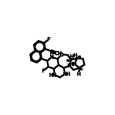 C#Cc1c(F)ccc2cccc(C3NC4OC[C@@H]5[C@@H]6CC[C@H](CN5C5NCNC(C3F)C45)N6)c12